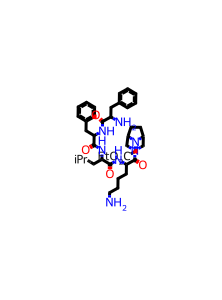 CCOC(=O)CN1C2CCC1CN(C(=O)C(CCCCN)NC(=O)C(CC(C)C)NC(=O)C(Cc1ccccc1)NC(=O)C(N)Cc1ccccc1)C2